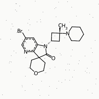 C[C@]1(N2CCCCC2)C[C@@H](N2C(=O)C3(CCOCC3)c3ncc(Br)cc32)C1